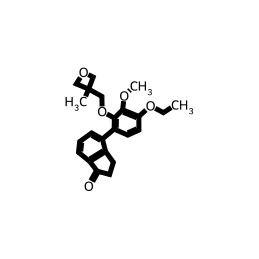 CCOc1ccc(-c2cccc3c2CCC3=O)c(OCC2(C)COC2)c1OC